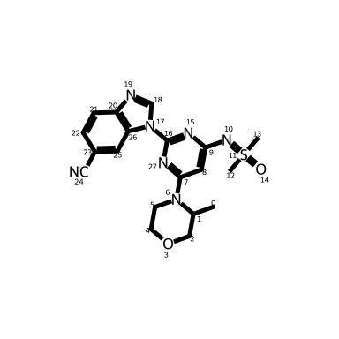 CC1COCCN1c1cc(N=S(C)(C)=O)nc(-n2cnc3ccc(C#N)cc32)n1